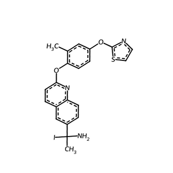 Cc1cc(Oc2nccs2)ccc1Oc1ccc2cc(C(C)(N)I)ccc2n1